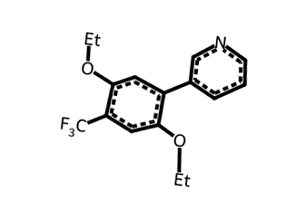 CCOc1cc(C(F)(F)F)c(OCC)cc1-c1cccnc1